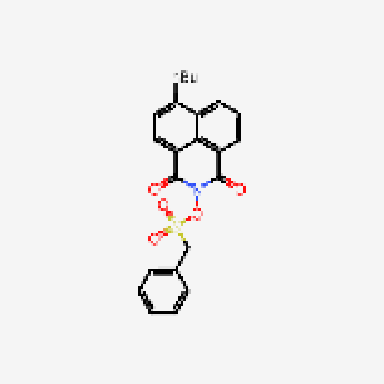 CCCCc1ccc2c3c(cccc13)C(=O)N(OS(=O)(=O)Cc1ccccc1)C2=O